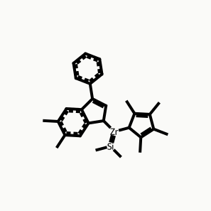 CC1=C(C)[CH]([Zr]([CH]2C=C(c3ccccc3)c3cc(C)c(C)cc32)=[Si](C)C)C(C)=C1C